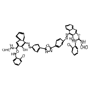 O=CNC(Nc1ccccc1Cl)Oc1cc2ccccc2c(N=Nc2ccc(-c3nnc(-c4ccc(N=Nc5c(O)c(C(NC=O)ONc6ccccc6Cl)cc6ccccc56)cc4)o3)cc2)c1O